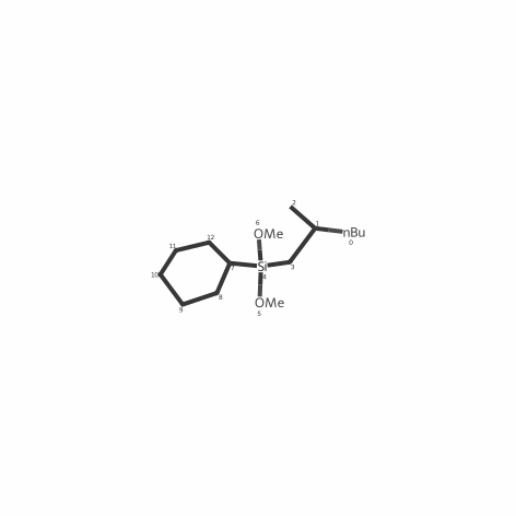 CCCCC(C)C[Si](OC)(OC)C1CCCCC1